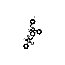 CCn1c(CN2CCC3(CC2)C(=O)N(Cc2ccc(F)cc2)N=C3c2ccccc2)c(Br)c(=O)n1-c1ccccc1